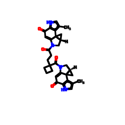 Cc1c[nH]c2c1C13C[C@@H]1CN(C(=O)CCC1(C(=O)N4C[C@H]5CC56C4=CC(=O)c4[nH]cc(C)c46)CCC1)C3=CC2=O